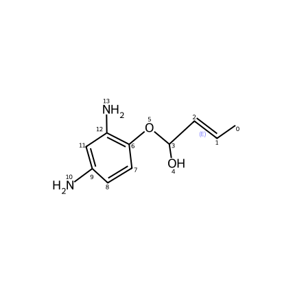 C/C=C/C(O)Oc1ccc(N)cc1N